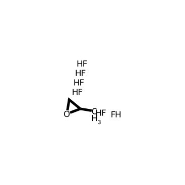 CC1CO1.F.F.F.F.F.F